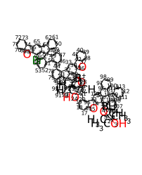 CC(C)(O)C(C)(C)OBc1c2c(cc3c1oc1cccc(CC(C)(O)C(C)(C)O[B+]c4c5c(cc6c4oc4ccccc46)-c4c(-c6cccc7c6-c6ccccc6C76c7ccccc7-c7cc8c(oc9ccccc98)c(Br)c76)cccc4C54c5ccccc5-c5ccccc54)c13)-c1ccccc1C2(c1ccccc1)c1ccccc1